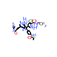 C=C(F)C(=O)Nc1ccc(-c2c(-c3cnc(C(=O)NCC(F)(F)F)c(Cl)c3)c3c(N)ncc(C#CC(=O)N(C)C4CN(C)C4)c3n2C)cc1